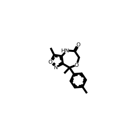 Cc1ccc(C2(C)OCC(=O)Nc3c2noc3C)cc1